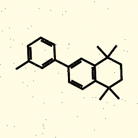 Cc1cc[c]c(-c2ccc3c(c2)C(C)(C)CCC3(C)C)c1